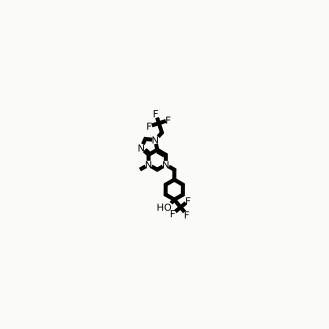 CN1CN(CC2CCC(O)(C(F)(F)F)CC2)C=C2C1=NCN2CC(F)(F)F